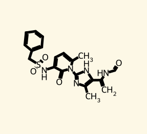 C=C(NC=O)c1[nH]c(-n2c(C)ccc(NS(=O)(=O)Cc3ccccc3)c2=O)nc1C